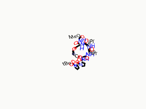 COC(=O)CNC(=O)[C@@H]1COC/C=C/COC(NC(=O)[C@@H]2CCCN2C(=O)[C@@H]2CCCN2C(=O)OC(C)(C)C)C(=O)N[C@@H](C(C)C)C(=O)N[C@@H](C(C)C)C(=O)N1